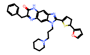 O=c1[nH]c2cc3nc(C4=CCC(c5ccco5)S4)n(CCCN4CCCCC4)c3cc2nc1Cc1ccccc1